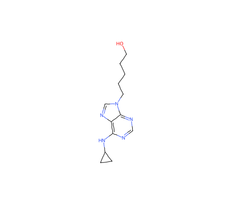 OCCCCCn1cnc2c(NC3CC3)ncnc21